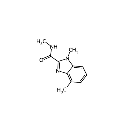 CNC(=O)c1nc2c(C)cccc2n1C